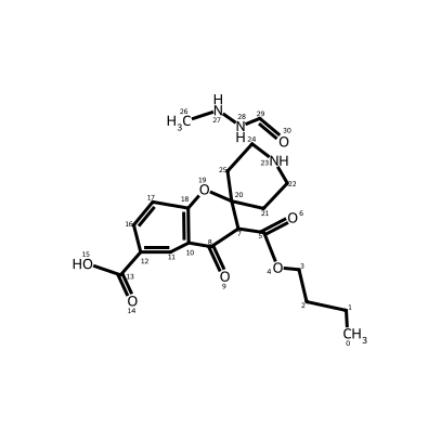 CCCCOC(=O)C1C(=O)c2cc(C(=O)O)ccc2OC12CCNCC2.CNNC=O